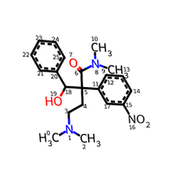 CN(C)CCC(C(=O)N(C)C)(c1cccc([N+](=O)[O-])c1)C(O)c1ccccc1